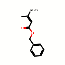 CCCCCC/C(C)=C/C(=O)OCc1ccccc1